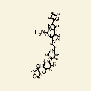 Nc1nc2c(cnn2CCN2CCN(c3ccc(O[C@@H]4COC[C@H]4O)cc3F)CC2)c2cc(-c3ccco3)nn12